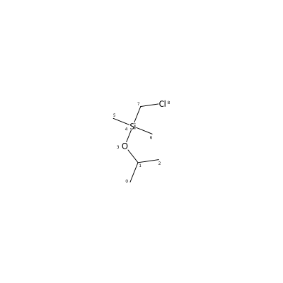 CC(C)O[Si](C)(C)CCl